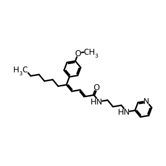 CCCCCCC(=CC=CC(=O)NCCCNc1cccnc1)c1ccc(OC)cc1